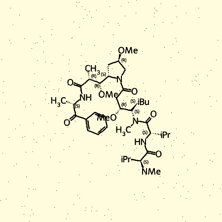 CC[C@H](C)[C@@H]([C@@H](CC(=O)N1C[C@H](OC)C[C@H]1[C@H](OC)[C@@H](C)C(=O)N[C@@H](C)C(=O)c1ccccc1)OC)N(C)C(=O)[C@@H](NC(=O)[C@@H](NC)C(C)C)C(C)C